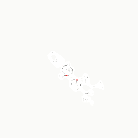 NC(=O)c1ccc(C(=O)NC2CC3CCC(C2)N3c2ccc(C(=O)C3CC3)cn2)cc1NCC1CC1